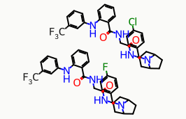 O=C(CNC(=O)c1ccccc1Nc1cccc(C(F)(F)F)c1)NC1CC2CCC(C1)N2Cc1ccc(Cl)cc1.O=C(CNC(=O)c1ccccc1Nc1cccc(C(F)(F)F)c1)NC1CC2CCC(C1)N2Cc1ccc(F)cc1